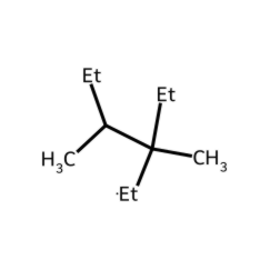 C[CH]C(C)(CC)C(C)CC